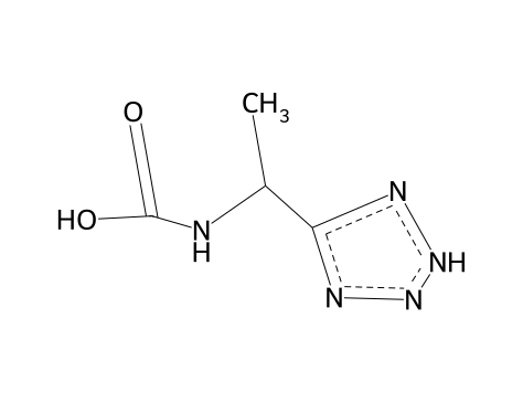 CC(NC(=O)O)c1nn[nH]n1